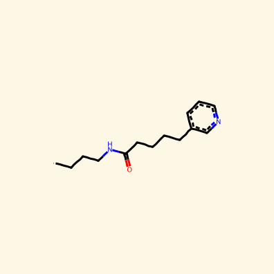 [CH2]CCCNC(=O)CCCCc1cccnc1